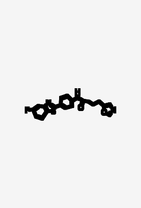 O=C(CCCc1cnco1)Nc1ccc(-c2nc3cc(F)ccc3s2)cc1